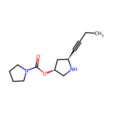 CCC#C[C@@H]1C[C@H](OC(=O)N2CCCC2)CN1